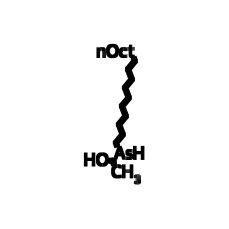 CCCCCCCCCCCCCCCCCC[AsH]C(C)O